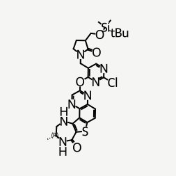 C[C@@H]1CNc2c(sc3ccc4nc(Oc5nc(Cl)ncc5CN5CCC(CO[Si](C)(C)C(C)(C)C)C5=O)cnc4c23)C(=O)N1